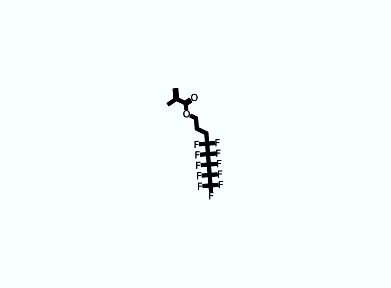 C=C(C)C(=O)OCCCC(F)(F)C(F)(F)C(F)(F)C(F)(F)C(F)(F)F